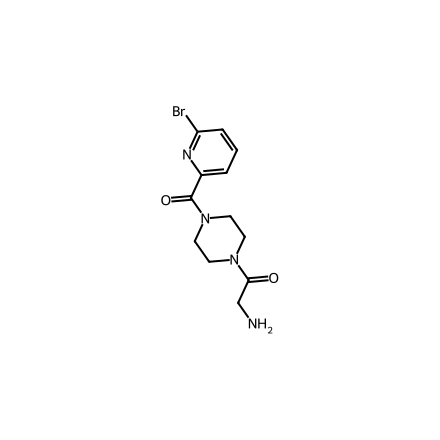 NCC(=O)N1CCN(C(=O)c2cccc(Br)n2)CC1